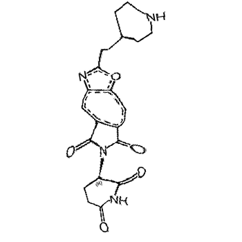 O=C1CC[C@@H](N2C(=O)c3cc4nc(CC5CCNCC5)oc4cc3C2=O)C(=O)N1